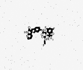 CC(C=O)(c1cc(F)cc(F)c1)N(CC(=O)Nc1ccc2c(c1)C[C@@]1(C2)C(=O)Nc2ncccc21)C(=O)NCCF